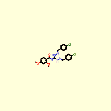 COc1ccc(C(=O)N=C(NN=Cc2ccc(Cl)cc2)NN=Cc2ccc(Cl)cc2)c(OC)c1